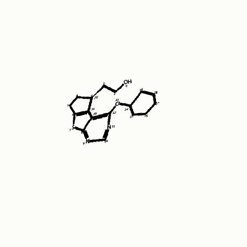 OCC[C@@H]1CCc2sc3ncnc(OC4CCCCC4)c3c21